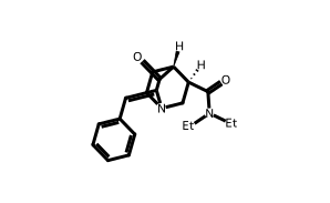 CCN(CC)C(=O)[C@H]1CN2CC[C@H]1C(=O)C2=Cc1ccccc1